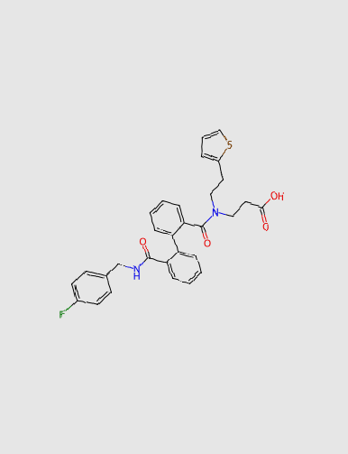 O=C(O)CCN(CCc1cccs1)C(=O)c1ccccc1-c1ccccc1C(=O)NCc1ccc(F)cc1